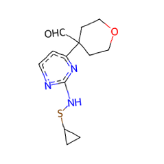 O=CC1(c2ccnc(NSC3CC3)n2)CCOCC1